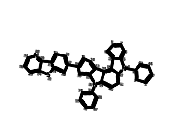 c1ccc(-n2c3ccccc3c3c4c5ccc(-c6ccc7c(c6)sc6cccnc67)cc5n(-c5ccccc5)c4ccc32)cc1